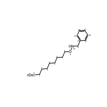 CCCCCCCCCCCCCCCCCCONCc1ccccc1